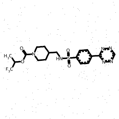 CC(OC(=O)N1CCC(CNS(=O)(=O)c2ccc(-c3nncnn3)cc2)CC1)C(F)(F)F